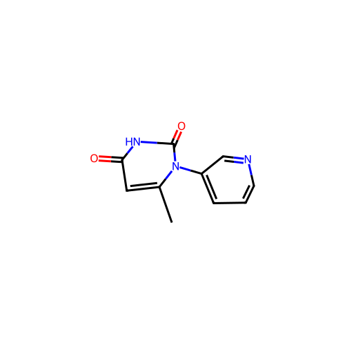 Cc1cc(=O)[nH]c(=O)n1-c1cccnc1